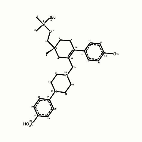 CC(C)(C)[Si](C)(C)OC[C@]1(C)CCC(c2ccc(Cl)cc2)=C(CN2CCN(c3ccc(C(=O)O)cc3)CC2)C1